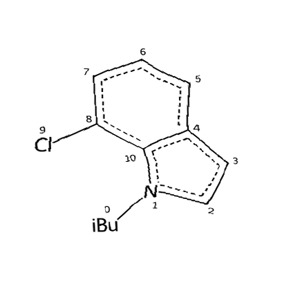 CCC(C)n1ccc2cccc(Cl)c21